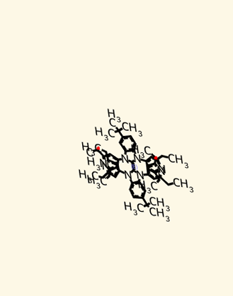 CCc1cc(N2/C(=C3/N(c4cc(CC)nc(CC)c4)c4ccc(C(C)(C)C)cc4N3c3cc(CC)nc(CC)c3)N(c3cc(CC)nc(CC)c3)c3cc(C(C)(C)C)ccc32)cc(CC)n1